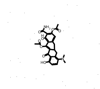 CC(=O)OC1=C2C(=O)c3c(O)ccc(N(C)C)c3CC2Cc2cc(OC(C)=O)c(C(N)=O)c(O)c21